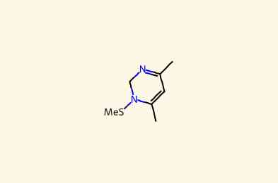 CSN1CN=C(C)C=C1C